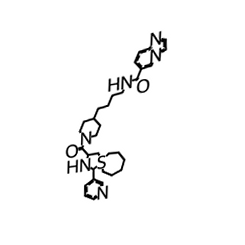 O=C(NCCCCC1CCN(C(=O)C2CS3(CCCCCC3)C(c3cccnc3)N2)CC1)c1ccc2nccn2c1